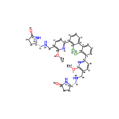 CCOc1nc(-c2cccc(-c3cccc(-c4ccc(CNC[C@@H]5CCC(=O)N5)c(OCC)n4)c3Cl)c2Cl)ccc1CNC[C@@H]1CCC(=O)N1